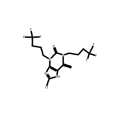 C=C1c2[nH]c(Cl)nc2N(CCCC(F)(F)F)C(=O)N1CCCC(F)(F)F